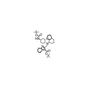 CC(C)(C)OC(=O)N[C@H]1CC[C@H](N(Cc2nc3ccccc3n2C(=O)OC(C)(C)C)C2CCCc3cccnc32)CC1